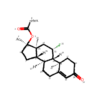 CCCCCCC(=O)O[C@]1(C(C)=O)CC[C@H]2[C@@H]3CCC4=CC(=O)CC[C@]4(C)[C@H]3[C@@H](F)C[C@@]21C